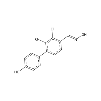 O/N=C/c1ccc(-c2ccc(O)cc2)c(Cl)c1Cl